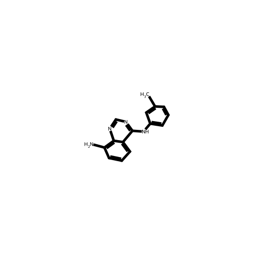 Cc1cccc(Nc2ncnc3c(N)cccc23)c1